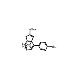 CCCCCCC1=C2c3c(ccc(c3-c3ccc(C(C)(C)C)cc3)[Si]2(C)C)[CH]1